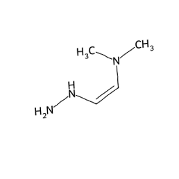 CN(C)/C=C\NN